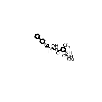 CC(C)(C)NC(=O)Nc1cc(C(=O)NCC(=O)NC2CN(C3CCC(c4ccccc4)CC3)C2)cc(C(F)(F)F)c1